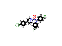 O=C(N1CC=C(c2ccc(Cl)cc2)CC1)N(c1ccc(F)cc1)c1ccc(F)cc1